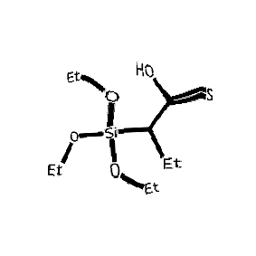 CCO[Si](OCC)(OCC)C(CC)C(O)=S